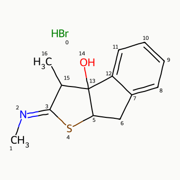 Br.CN=C1SC2Cc3ccccc3C2(O)C1C